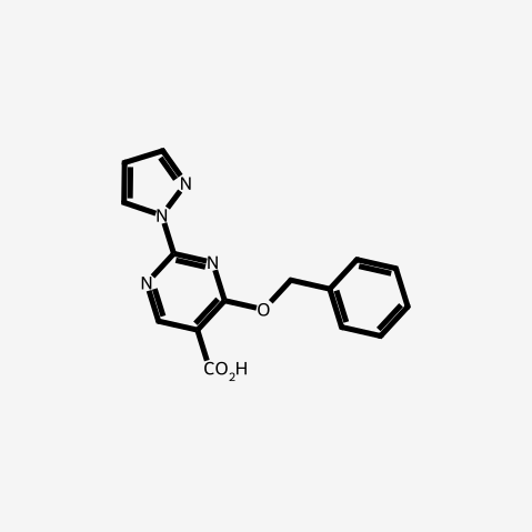 O=C(O)c1cnc(-n2cccn2)nc1OCc1ccccc1